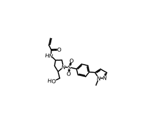 C=CC(=O)NC1CC(CO)N(S(=O)(=O)c2ccc(-c3ccnn3C)cc2)C1